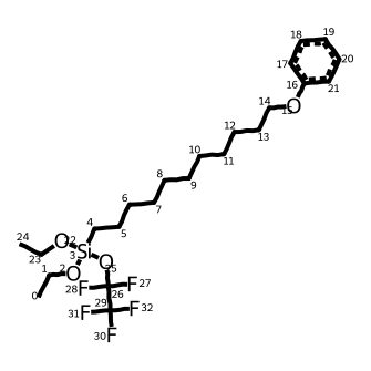 CCO[Si](CCCCCCCCCCCOc1ccccc1)(OCC)OC(F)(F)C(F)(F)F